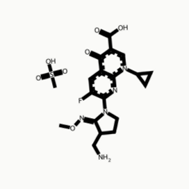 CON=C1C(CN)CCN1c1nc2c(cc1F)c(=O)c(C(=O)O)cn2C1CC1.CS(=O)(=O)O